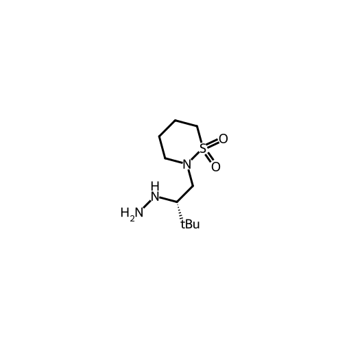 CC(C)(C)[C@@H](CN1CCCCS1(=O)=O)NN